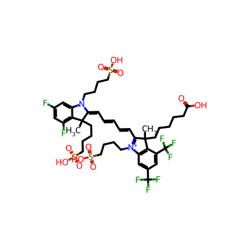 CC1(CCCCCC(=O)O)C(/C=C/C=C/C=C2/N(CCCCS(=O)(=O)O)c3cc(F)cc(F)c3C2(C)CCCCS(=O)(=O)O)=[N+](CCCCS(=O)(=O)O)c2cc(C(F)(F)F)cc(C(F)(F)F)c21